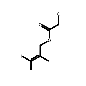 CCC(=O)OCC(I)=C(I)I